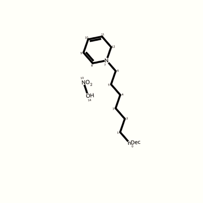 CCCCCCCCCCCCCCCCN1C=CC=CC1.O=[N+]([O-])O